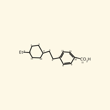 CCC1CCC(CCc2ccc(C(=O)O)cc2)CC1